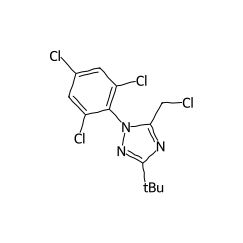 CC(C)(C)c1nc(CCl)n(-c2c(Cl)cc(Cl)cc2Cl)n1